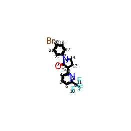 O=C1C(c2cccc(C(F)(F)F)n2)CCN1c1ccc(Br)cc1